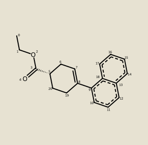 CCOC(=O)[C@@H]1CC=C(c2cccc3ccccc23)CC1